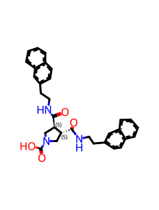 O=C(NCCc1ccc2ccccc2c1)[C@@H]1CN(C(=O)O)C[C@H]1C(=O)NCCc1ccc2ccccc2c1